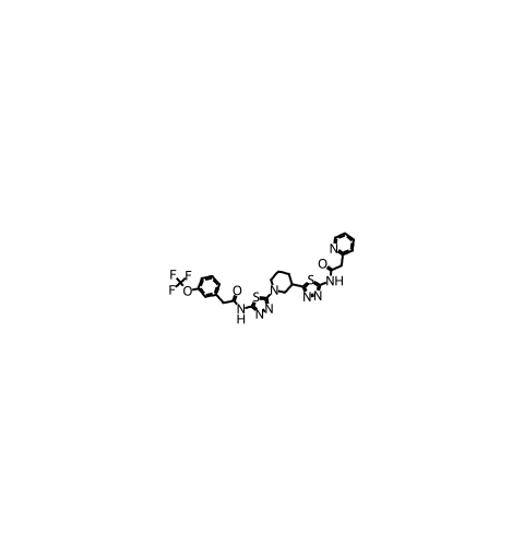 O=C(Cc1ccccn1)Nc1nnc(C2CCCN(c3nnc(NC(=O)Cc4cccc(OC(F)(F)F)c4)s3)C2)s1